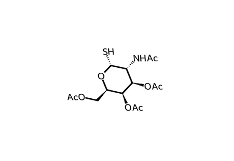 CC(=O)N[C@@H]1[C@@H](OC(C)=O)[C@@H](OC(C)=O)[C@@H](COC(C)=O)O[C@@H]1S